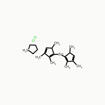 C1CC[SiH2]C1.CC1=CC(C)[C]([Zr+2][C]2=C(C)C(C)=CC2C)=C1C.[Cl-].[Cl-]